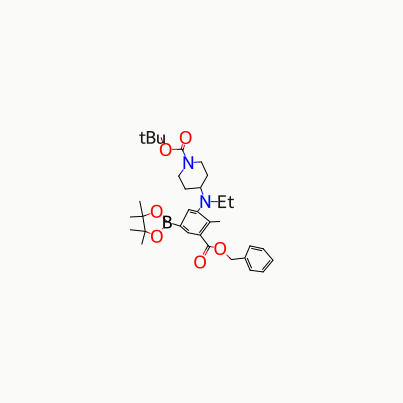 CCN(c1cc(B2OC(C)(C)C(C)(C)O2)cc(C(=O)OCc2ccccc2)c1C)C1CCN(C(=O)OC(C)(C)C)CC1